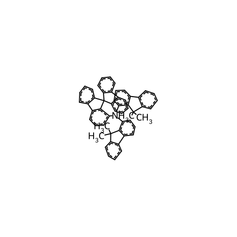 CC1(C)c2ccccc2-c2cccc(N(c3cccc4c3C(C)(C)c3ccccc3-4)c3cccc4c3C3(c5ccccc5-c5ccccc53)c3ccccc3-4)c21